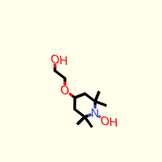 CC1(C)CC(OCCO)CC(C)(C)N1O